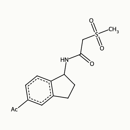 CC(=O)c1ccc2c(c1)CCC2NC(=O)CS(C)(=O)=O